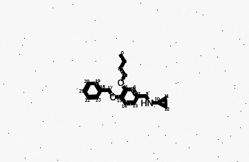 CCCCOc1cc(CNC2CC2)ccc1OCc1ccccc1